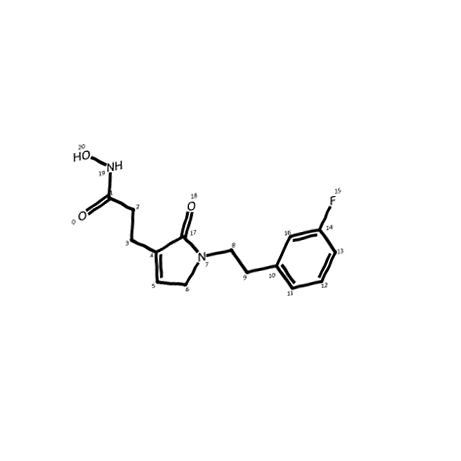 O=C(CCC1=CCN(CCc2cccc(F)c2)C1=O)NO